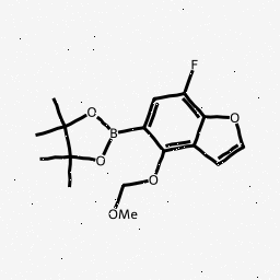 COCOc1c(B2OC(C)(C)C(C)(C)O2)cc(F)c2occc12